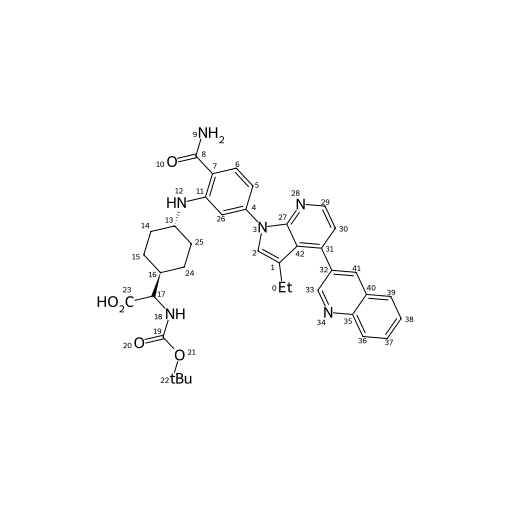 CCc1cn(-c2ccc(C(N)=O)c(N[C@H]3CC[C@H](C(NC(=O)OC(C)(C)C)C(=O)O)CC3)c2)c2nccc(-c3cnc4ccccc4c3)c12